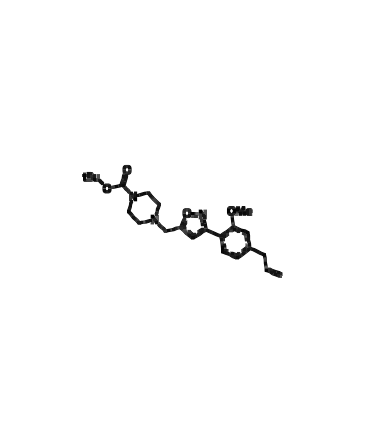 C=CCc1ccc(-c2cc(CN3CCN(C(=O)OC(C)(C)C)CC3)on2)c(OC)c1